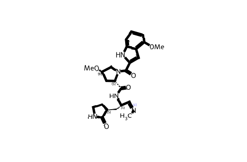 C/N=C\[C@H](C[C@@H]1CCNC1=O)NC(=O)[C@@H]1C[C@@H](OC)CN1C(=O)c1cc2c(OC)cccc2[nH]1